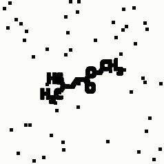 CCOC(=O)CCC(C)S